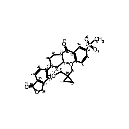 CS(=O)(=O)c1ccc(OCC2(CO)CC2)c(C(=O)N2CCN(c3ccc4c(c3)COC4=O)CC2)c1